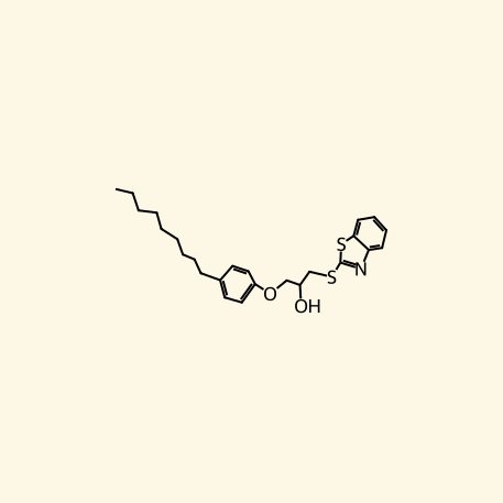 CCCCCCCCCc1ccc(OCC(O)CSc2nc3ccccc3s2)cc1